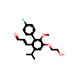 COc1c(OCCO)cc(C(C)C)c(/C=C/C=O)c1-c1ccc(F)cc1